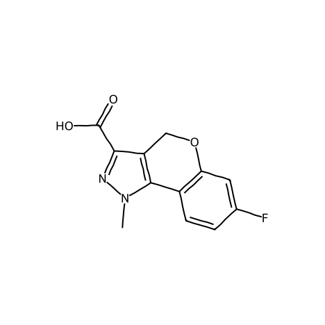 Cn1nc(C(=O)O)c2c1-c1ccc(F)cc1OC2